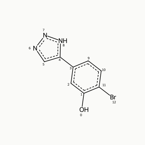 Oc1cc(-c2cnn[nH]2)ccc1Br